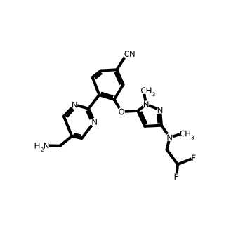 CN(CC(F)F)c1cc(Oc2cc(C#N)ccc2-c2ncc(CN)cn2)n(C)n1